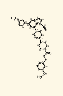 COc1cccc(CCC(=O)N2CCN(c3ccc(-c4cc(-c5cnn(C)c5)cn5ncc(C#N)c45)cn3)CC2)c1